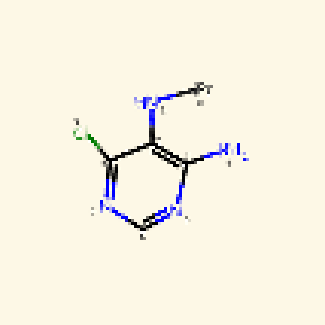 CC(C)Nc1c(N)ncnc1Cl